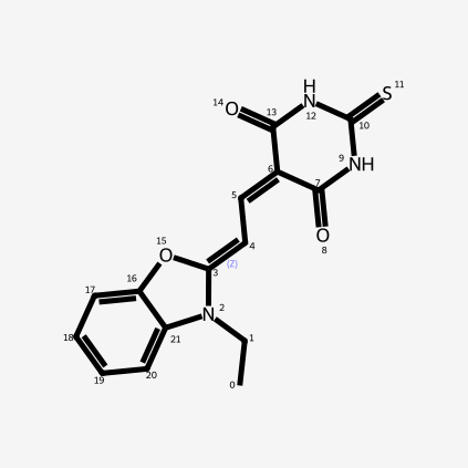 CCN1/C(=C/C=C2C(=O)NC(=S)NC2=O)Oc2ccccc21